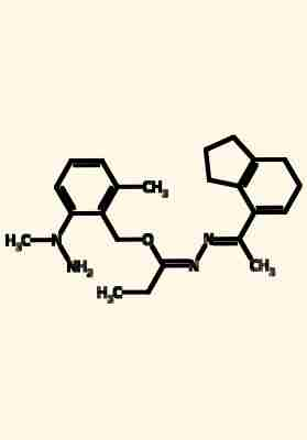 CCC(=NN=C(C)C1=CCCC2=C1CCC2)OCc1c(C)cccc1N(C)N